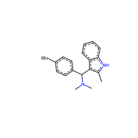 Cc1[nH]c2ccccc2c1C(c1ccc(C(C)(C)C)cc1)N(C)C